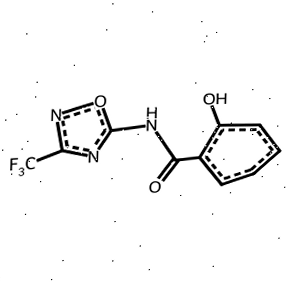 O=C(Nc1nc(C(F)(F)F)no1)c1ccccc1O